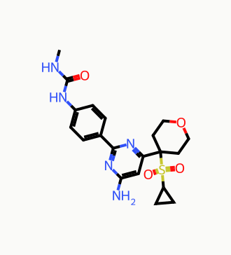 CNC(=O)Nc1ccc(-c2nc(N)cc(C3(S(=O)(=O)C4CC4)CCOCC3)n2)cc1